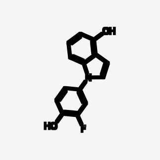 Oc1ccc(-n2ccc3c(O)cccc32)cc1F